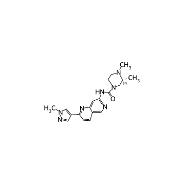 C[C@@H]1CN(C(=O)Nc2cc3nc(-c4cnn(C)c4)ccc3cn2)CCN1C